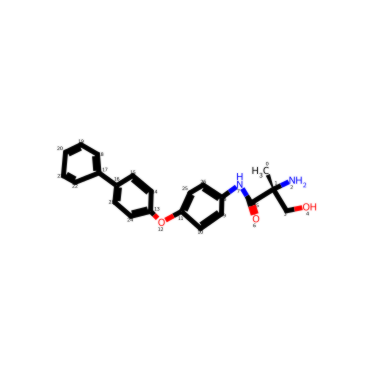 C[C@@](N)(CO)C(=O)Nc1ccc(Oc2ccc(-c3ccccc3)cc2)cc1